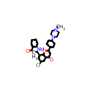 CC(Nc1ccccc1C=O)c1cc(Cl)cc2c(=O)cc(-c3ccc(N4CCN(C)CC4)cc3)oc12